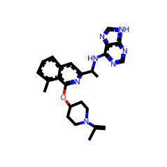 C=C(C)N1CCC(Oc2nc(C(C)Nc3ncnc4[nH]cnc34)cc3cccc(C)c23)CC1